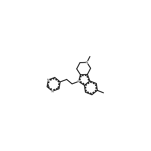 Cc1ccc2c(c1)c1c(n2CCc2cncnc2)CCN(C)C1